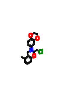 Cc1ccccc1CN(C(=O)CCl)c1ccc2c(c1)OCCO2